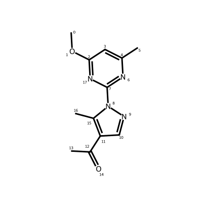 COc1cc(C)nc(-n2ncc(C(C)=O)c2C)n1